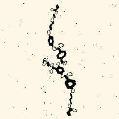 C=CC(=O)OCCCCOc1ccc(C(=O)Oc2ccc(OC(=O)C3CCC(C(=O)Oc4ccc(OCCCOCCOC(=O)C=C)cc4)CC3)c(C(=O)OCCOCC)c2)cc1